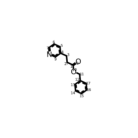 O=C([CH]Cc1cccnc1)OCc1ccccc1